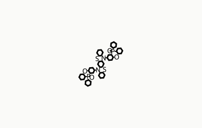 O=P1(c2ccccc2)c2ccccc2Oc2ccc(-n3c4ccccc4sc4cc5c(cc43)sc3ccccc3n5-c3ccc4c(c3)P(=O)(c3ccccc3)c3ccccc3O4)cc21